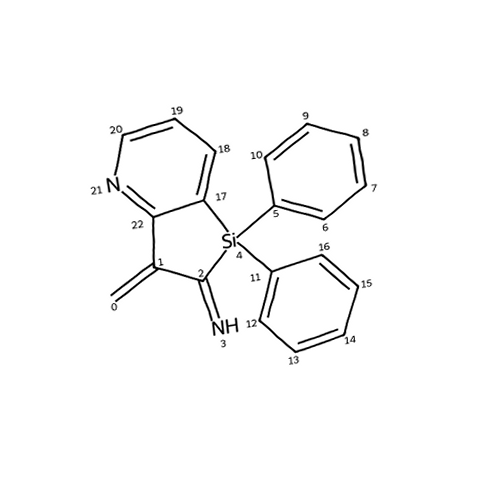 C=C1C(=N)[Si](c2ccccc2)(c2ccccc2)c2cccnc21